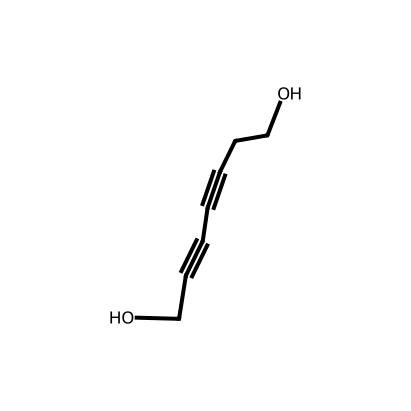 OCC#CC#CCCO